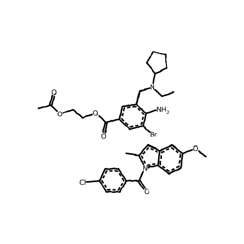 CCN(Cc1cc(C(=O)OCCOC(C)=O)cc(Br)c1N)C1CCCC1.COc1ccc2c(c1)cc(C)n2C(=O)c1ccc(Cl)cc1